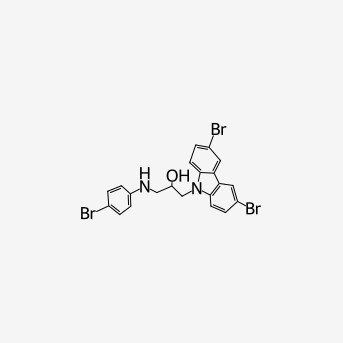 OC(CNc1ccc(Br)cc1)Cn1c2ccc(Br)cc2c2cc(Br)ccc21